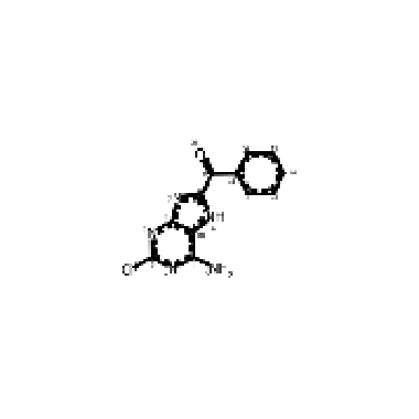 Nc1nc(Cl)nc2nc(C(=O)c3ccccc3)[nH]c12